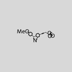 COc1ccc(C2CN(C)Cc3cc(C#CCCOS(C)(=O)=O)ccc32)cc1